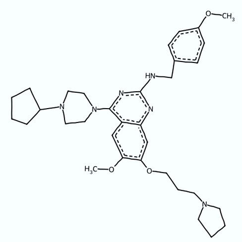 COc1ccc(CNc2nc(N3CCN(C4CCCC4)CC3)c3cc(OC)c(OCCCN4CCCC4)cc3n2)cc1